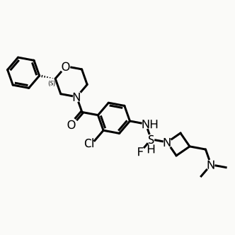 CN(C)CC1CN([SH](F)Nc2ccc(C(=O)N3CCO[C@@H](c4ccccc4)C3)c(Cl)c2)C1